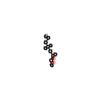 c1cc(-c2cccc3ccccc23)cc(-c2c3ccccc3c(-c3ccc(-c4cc5c6ccc7c8ccccc8oc7c6oc5c5ccccc45)cc3)c3ccccc23)c1